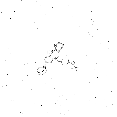 CC(C)(C)OC1CCC(CN2Cc3cccnc3Nc3ccc(N4CCOCC4)cc32)CC1